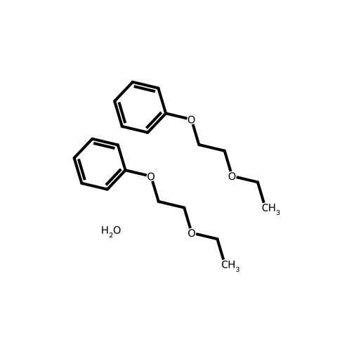 CCOCCOc1ccccc1.CCOCCOc1ccccc1.O